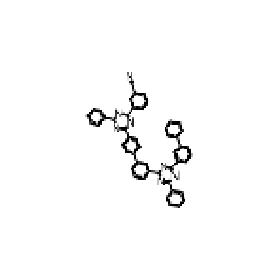 N#Cc1cccc(-c2nc(-c3ccccc3)nc(-c3ccc(-c4cccc(-c5nc(-c6ccccc6)nc(-c6cccc(-c7ccccc7)c6)n5)c4)cc3)n2)c1